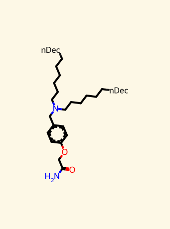 CCCCCCCCCCCCCCCCN(CCCCCCCCCCCCCCCC)Cc1ccc(OCC(N)=O)cc1